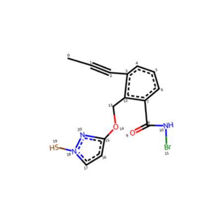 CC#Cc1cccc(C(=O)NBr)c1COc1ccn(S)n1